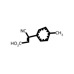 Cc1ccc(C(C#N)=CC(=O)O)cc1